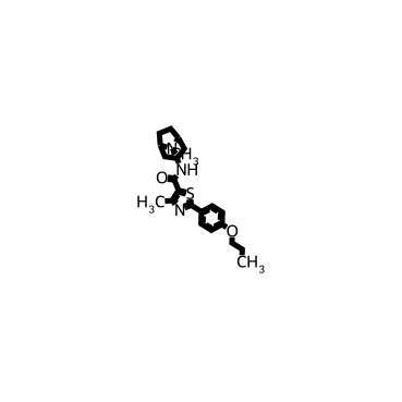 CCCOc1ccc(-c2nc(C)c(C(=O)NC3CC4CCC(C3)N4C)s2)cc1